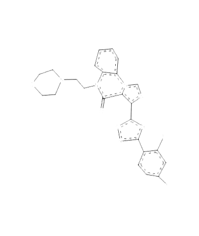 O=c1c2c(-c3nc(-c4ccc(F)cc4F)no3)ncn2c2ccccc2n1CCN1CCOCC1